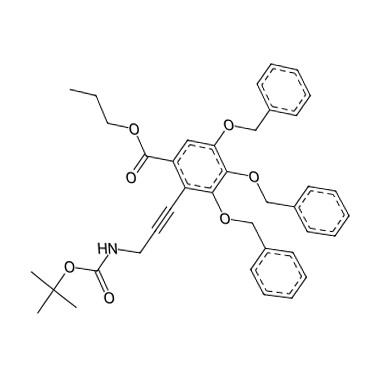 CCCOC(=O)c1cc(OCc2ccccc2)c(OCc2ccccc2)c(OCc2ccccc2)c1C#CCNC(=O)OC(C)(C)C